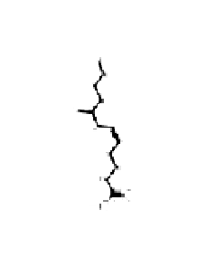 CCCCC(C)C/C=C\CCCC(=O)O